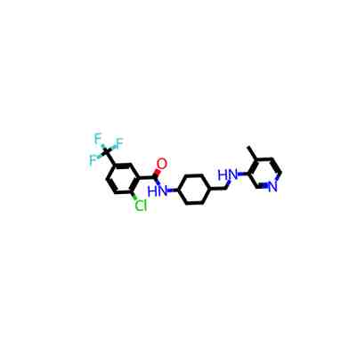 Cc1ccncc1NCC1CCC(NC(=O)c2cc(C(F)(F)F)ccc2Cl)CC1